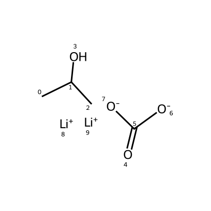 CC(C)O.O=C([O-])[O-].[Li+].[Li+]